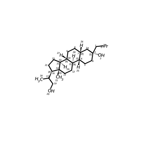 CC(C)C[C@@]1(O)CC[C@H]2[C@H](CC[C@@H]3[C@@H]2CC[C@]2(C)[C@@H](C(C)CO)CC[C@@H]32)C1